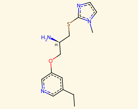 CCc1cncc(OC[C@@H](N)CSc2nccn2C)c1